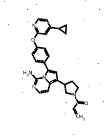 C=CC(=O)N1CCC(c2cc(-c3ccc(Oc4cc(C5CC5)ccn4)cc3)n3c(N)nccc23)C1